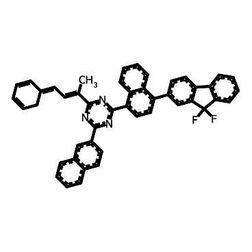 C/C(=C\C=C1\C=CC=CC1)c1nc(-c2ccc3ccccc3c2)nc(-c2ccc(-c3ccc4c(c3)C(F)(F)c3ccccc3-4)c3ccccc23)n1